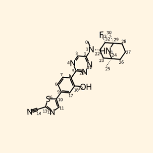 CN(c1cnc(-c2ccc(-c3cnc(C#N)s3)cc2O)nn1)[C@H]1C[C@]2(C)CCC[C@@](C)(N2)[C@H]1F